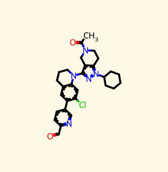 CC(=O)N1CCc2c(c(N3CCCc4cc(-c5ccc(C=O)nc5)c(Cl)cc43)nn2C2CCCCC2)C1